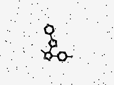 Cc1onc(-c2ccc(F)cc2)c1-c1cn(-c2ccncc2)cn1